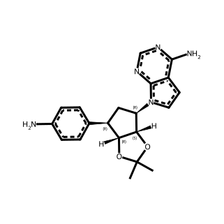 CC1(C)O[C@@H]2[C@H](O1)[C@@H](c1ccc(N)cc1)C[C@H]2n1ccc2c(N)ncnc21